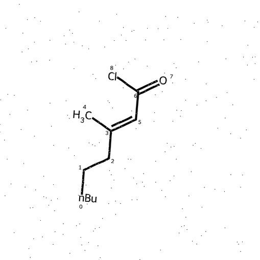 CCCCCC/C(C)=C/C(=O)Cl